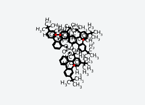 CC(C)(C)c1ccc(-c2cccc(OP(=O)(Oc3cccc(-c4ccc(C(C)(C)C)cc4C(C)(C)C)c3-c3ccc(C(C)(C)C)cc3C(C)(C)C)Oc3cccc(-c4ccc(C(C)(C)C)cc4C(C)(C)C)c3-c3ccc(C(C)(C)C)cc3C(C)(C)C)c2-c2ccc(C(C)(C)C)cc2C(C)(C)C)c(C(C)(C)C)c1